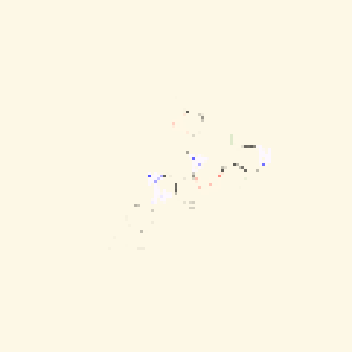 C[C@@H]1CC[C@@H](CN(CC(=O)c2c(Cl)cncc2Cl)C(=O)c2cnn(C3CCC(C)(C(=O)O)CC3)c2C(F)(F)F)O1